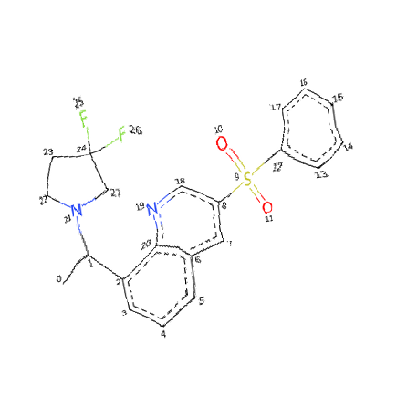 CC(c1cccc2cc(S(=O)(=O)c3ccccc3)cnc12)N1CCC(F)(F)C1